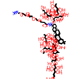 CCC(OC(C)=O)C(OC(O)C(O)C(O)C(C)O)C(O)C(O)OC(CC)C(O)C(CO)(OC(=O)[C@]12CCC(C)(C)CC1C1=CCC3[C@@]4(C)CC[C@H](OC(O)C(OC(O)C(O)C(O)C(O)CCO)C(OC(O)C(O)C(O)C(C)O)C(O)CC(=O)O)[C@@](C)(/C=N/NC(=O)CCOCCOCCOCCOCCN=[N+]=[N-])C4CC[C@@]3(C)[C@]1(C)C[C@H]2O)OC1OC(C)C(OC(O)/C(O)=C(/OC(O)C(O)C(O)C(O)CCO)C(C)O)C(O)C1O